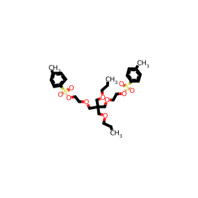 CCCOCC(COCCC)(COCCOS(=O)(=O)c1ccc(C)cc1)COCCOS(=O)(=O)c1ccc(C)cc1